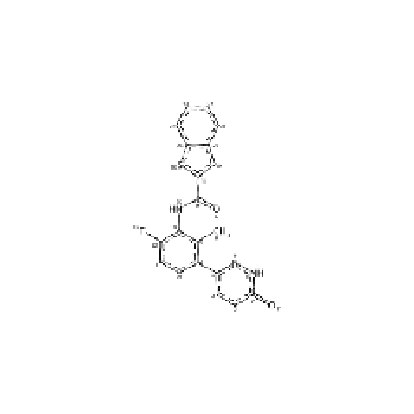 Cc1c(-c2ccc(=O)[nH]n2)ccc(F)c1NC(=O)c1cc2ccccc2s1